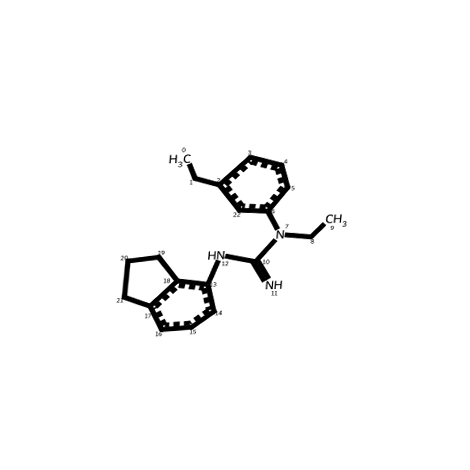 CCc1cccc(N(CC)C(=N)Nc2cccc3c2CCC3)c1